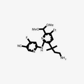 CCc1cc(C(C)(C)CCN)c(Nc2cc(F)c(C#N)cn2)nc1C(OC)OC